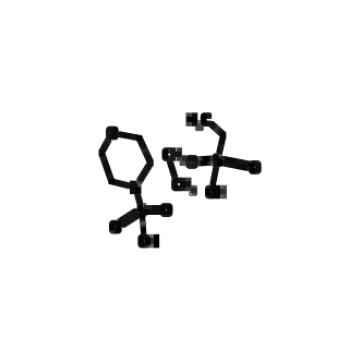 CC.CCS(=O)(=O)O.O=S(=O)(O)N1CCOCC1